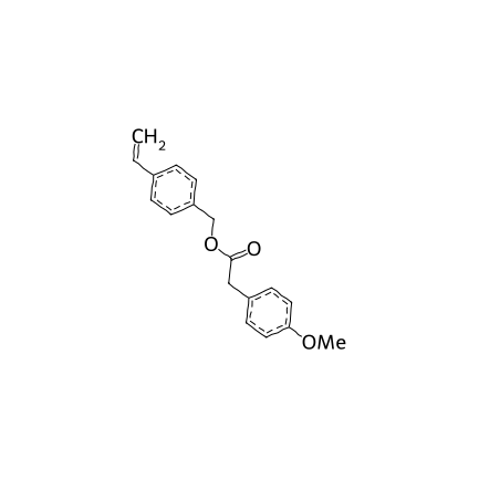 C=Cc1ccc(COC(=O)Cc2ccc(OC)cc2)cc1